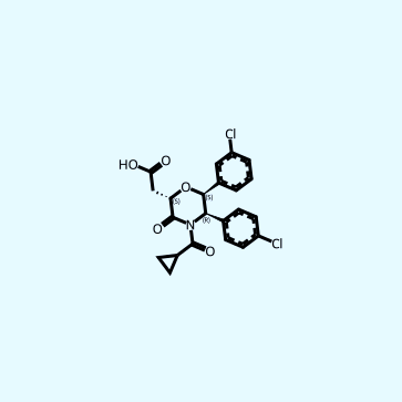 O=C(O)C[C@@H]1O[C@@H](c2cccc(Cl)c2)[C@@H](c2ccc(Cl)cc2)N(C(=O)C2CC2)C1=O